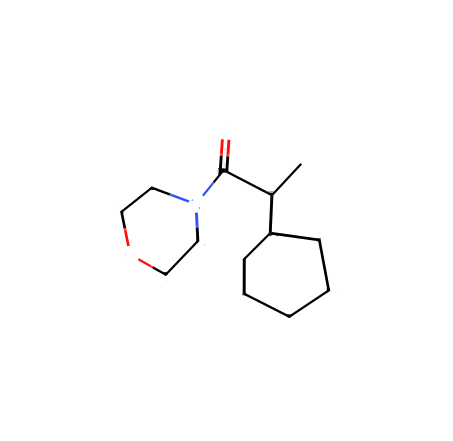 [CH2]C(C(=O)N1CCOCC1)C1CCCCC1